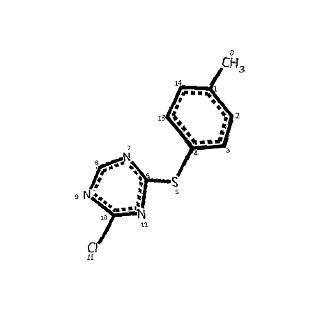 Cc1ccc(Sc2n[c]nc(Cl)n2)cc1